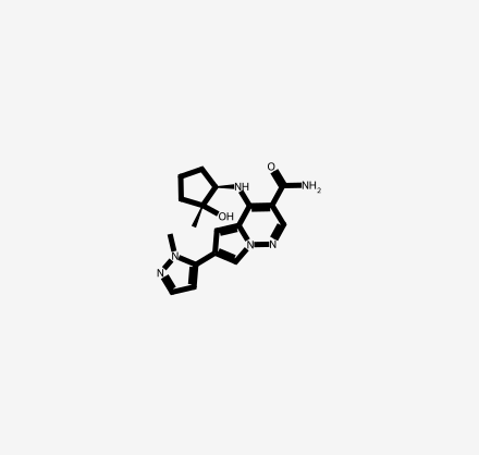 Cn1nccc1-c1cc2c(N[C@@H]3CCC[C@@]3(C)O)c(C(N)=O)cnn2c1